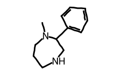 CN1CCCNCC1c1ccccc1